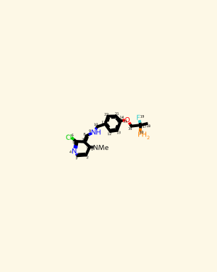 CNC1C=CN=C(Cl)/C1=C/NCc1ccc(OCC(C)(F)P)cc1